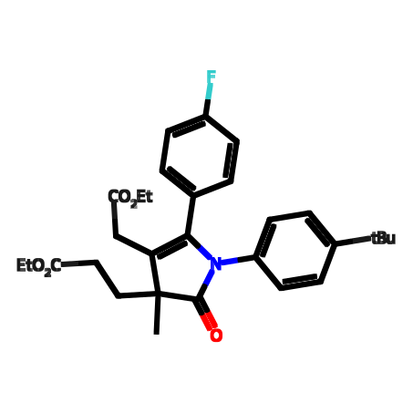 CCOC(=O)CCC1(C)C(=O)N(c2ccc(C(C)(C)C)cc2)C(c2ccc(F)cc2)=C1CC(=O)OCC